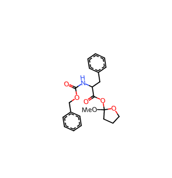 COC1(OC(=O)C(Cc2ccccc2)NC(=O)OCc2ccccc2)CCCO1